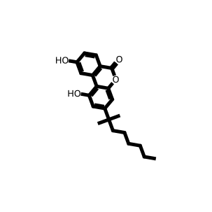 CCCCCCC(C)(C)c1cc(O)c2c(c1)oc(=O)c1ccc(O)cc12